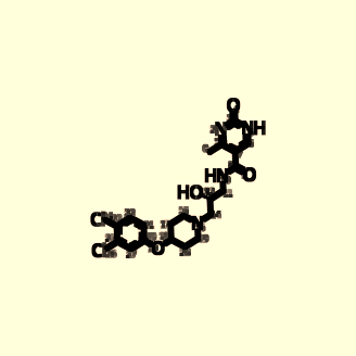 Cc1nc(=O)[nH]cc1C(=O)NC[C@@H](O)CN1CCC(Oc2ccc(Cl)c(Cl)c2)CC1